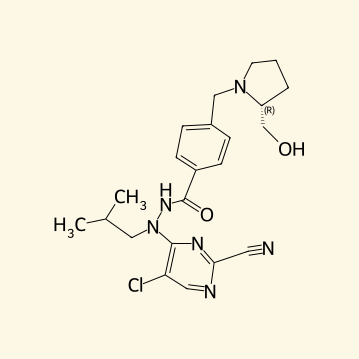 CC(C)CN(NC(=O)c1ccc(CN2CCC[C@@H]2CO)cc1)c1nc(C#N)ncc1Cl